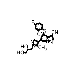 Cc1c(-c2cc(Sc3ccc(F)cc3C#N)c3c(C#N)cnn3c2)cnn1C[C@H](O)CO